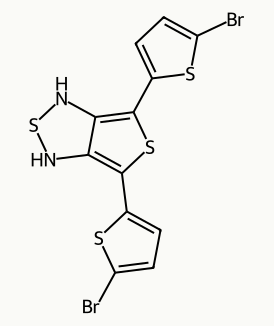 Brc1ccc(-c2sc(-c3ccc(Br)s3)c3c2NSN3)s1